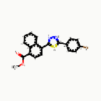 COC(=O)c1ccc(-c2nnc(-c3ccc(Br)cc3)s2)c2ccccc12